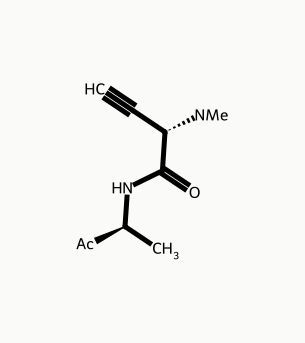 C#C[C@H](NC)C(=O)N[C@@H](C)C(C)=O